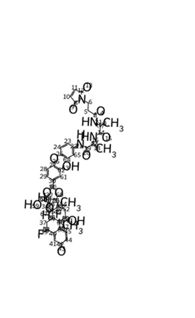 C[C@H](NC(=O)CCN1C(=O)C=CC1=O)C(=O)N[C@@H](C)C(=O)Nc1ccc(Oc2ccc([C@@H]3O[C@@H]4CC5[C@@H]6C[C@H](F)C7=CC(=O)C=C[C@]7(C)[C@@]6(F)[C@@H](O)C[C@]5(C)[C@]4(C(=O)CO)O3)cc2O)cc1